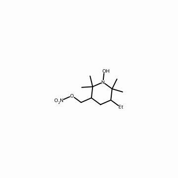 CCC1CC(CO[N+](=O)[O-])C(C)(C)N(O)C1(C)C